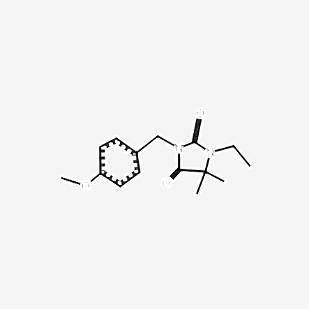 CCN1C(=O)N(Cc2ccc(OC)cc2)C(=O)C1(C)C